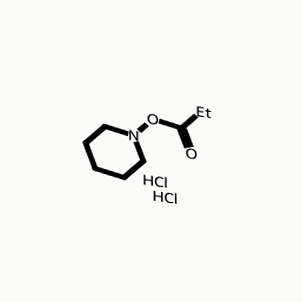 CCC(=O)ON1CCCCC1.Cl.Cl